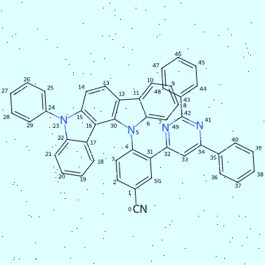 N#Cc1ccc(-n2c3ccccc3c3ccc4c(c5ccccc5n4-c4ccccc4)c32)c(-c2cc(-c3ccccc3)nc(-c3ccccc3)n2)c1